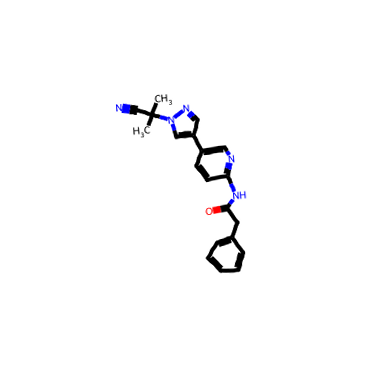 CC(C)(C#N)n1cc(-c2ccc(NC(=O)Cc3ccccc3)nc2)cn1